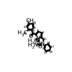 Cc1ccc(C(=O)c2ccc(CN(c3ccccc3)S(N)(=O)=O)n2C)c(C)c1